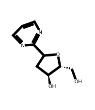 OC[C@H]1OC(c2ncccn2)C[C@@H]1O